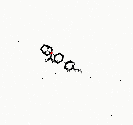 Cc1ncc([C@H]2CC[C@@H](N3CC4CCC(C3)N4CC(N)=O)CC2)cn1